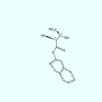 O=C(O)[C@@H](O)[C@H](O)C(=O)Oc1ccc2ccccc2c1